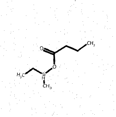 CCCC(=O)O[SiH](C)CC